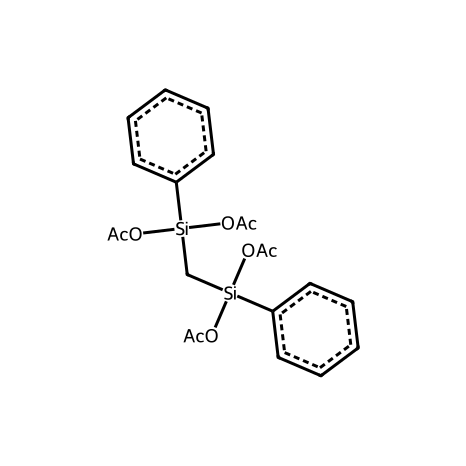 CC(=O)O[Si](C[Si](OC(C)=O)(OC(C)=O)c1ccccc1)(OC(C)=O)c1ccccc1